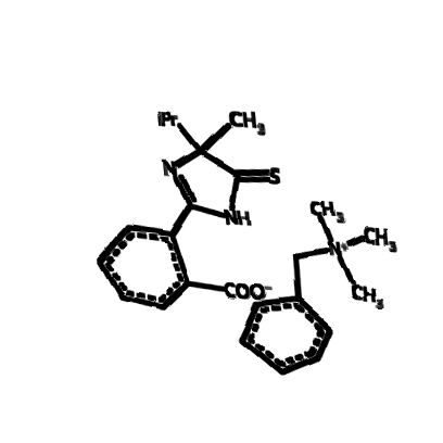 CC(C)C1(C)N=C(c2ccccc2C(=O)[O-])NC1=S.C[N+](C)(C)Cc1ccccc1